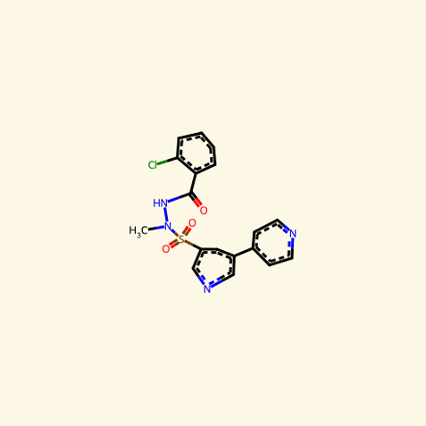 CN(NC(=O)c1ccccc1Cl)S(=O)(=O)c1cncc(-c2ccncc2)c1